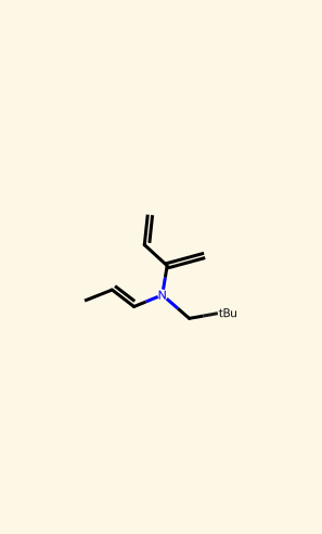 C=CC(=C)N(/C=C/C)CC(C)(C)C